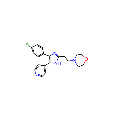 Fc1ccc(-c2nc(CCN3CCOCC3)[nH]c2-c2ccncc2)cc1